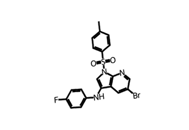 Cc1ccc(S(=O)(=O)n2cc(Nc3ccc(F)cc3)c3cc(Br)cnc32)cc1